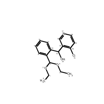 CCOC(OCC)c1ccccc1C(O)c1cnccc1Cl